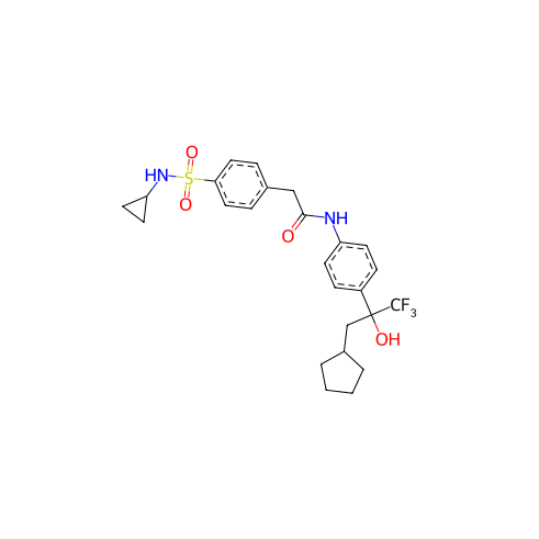 O=C(Cc1ccc(S(=O)(=O)NC2CC2)cc1)Nc1ccc(C(O)(CC2CCCC2)C(F)(F)F)cc1